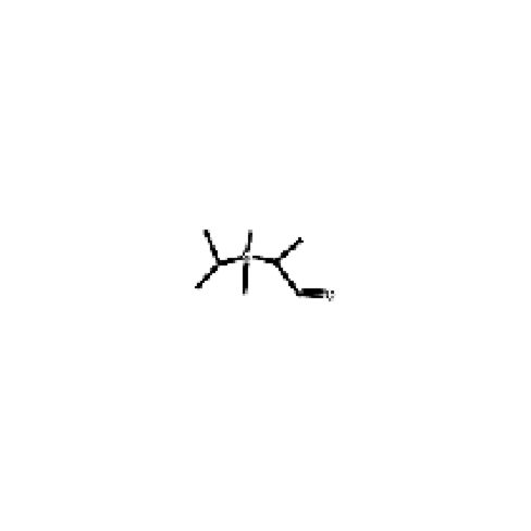 CC(C)[Si](C)(C)C(C)[C]=O